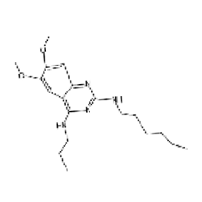 CCCCCCNc1nc(NCCC)c2cc(OC)c(OC)cc2n1